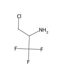 NC(CCl)C(F)(F)F